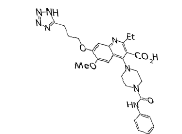 CCc1nc2cc(OCCCc3nnn[nH]3)c(OC)cc2c(N2CCN(C(=O)Nc3ccc(C#N)cc3)CC2)c1C(=O)O